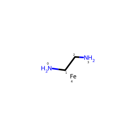 NCCN.[Fe]